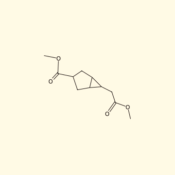 COC(=O)CC1C2CC(C(=O)OC)CC12